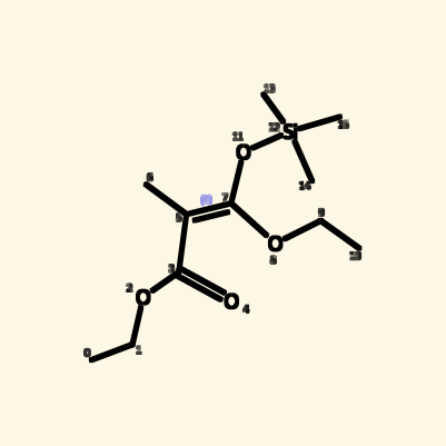 CCOC(=O)/C(C)=C(\OCC)O[Si](C)(C)C